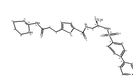 O=C(CCc1ccc(C(=O)NC[C@H](NS(=O)(=O)c2ccc(-c3ccccc3)cc2)C(=O)O)s1)NC1=NCCCN1